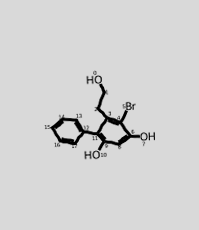 OCCc1c(Br)c(O)cc(O)c1-c1ccccc1